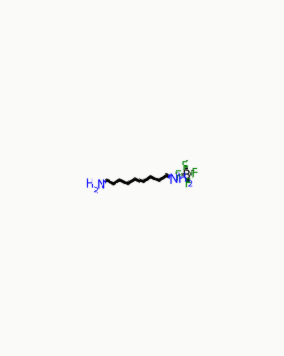 F[B-](F)(F)F.NCCCCCCCCCN